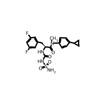 CN(C(=O)[C@H](Cc1cc(F)cc(F)c1)NC(=O)NS(N)(=O)=O)c1ccc(C2CC2)cc1